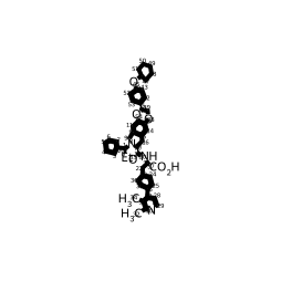 CC[C@@H](c1ccccc1)N1Cc2cc3c(cc2C[C@H]1C(=O)NC(Cc1ccc(-c2ccnc(C)c2C)cc1)C(=O)O)OC[C@H](c1ccc(OC2CCCCC2)cc1)O3